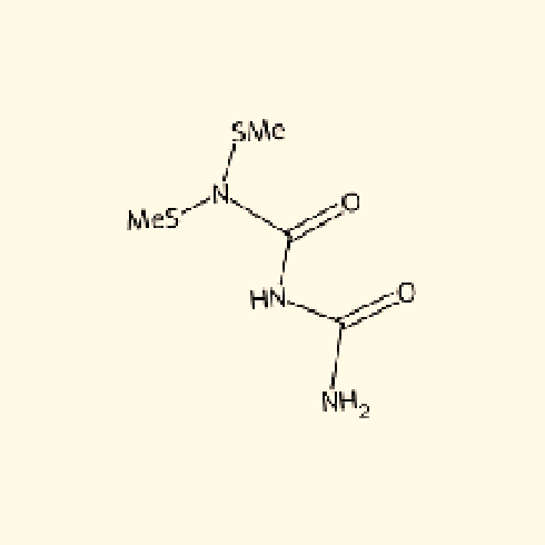 CSN(SC)C(=O)NC(N)=O